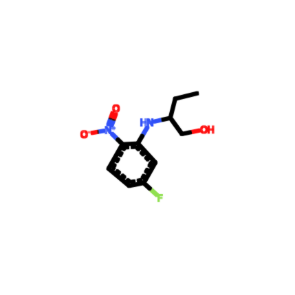 CCC(CO)Nc1cc(F)ccc1[N+](=O)[O-]